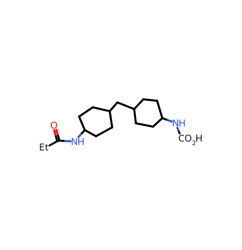 CCC(=O)NC1CCC(CC2CCC(NC(=O)O)CC2)CC1